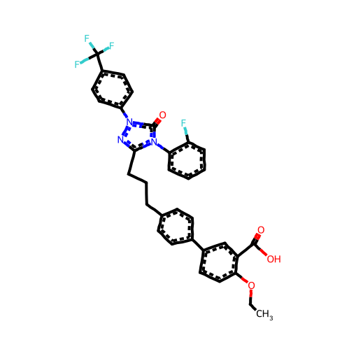 CCOc1ccc(-c2ccc(CCCc3nn(-c4ccc(C(F)(F)F)cc4)c(=O)n3-c3ccccc3F)cc2)cc1C(=O)O